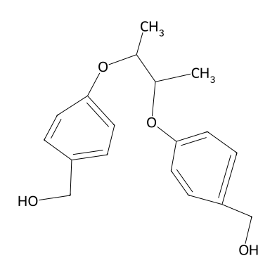 CC(Oc1ccc(CO)cc1)C(C)Oc1ccc(CO)cc1